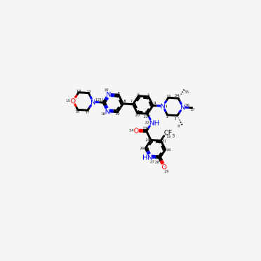 C[C@@H]1CN(c2ccc(-c3cnc(N4CCOCC4)nc3)cc2NC(=O)c2c[nH]c(=O)cc2C(F)(F)F)C[C@H](C)N1C